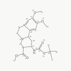 COC(=O)C1CN2CCc3cc(OC)c(OC)cc3C2CC1NC(=O)OC(C)(C)C